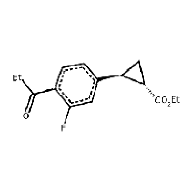 CCOC(=O)[C@H]1C[C@@H]1c1ccc(C(=O)CC)c(F)c1